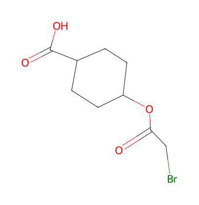 O=C(CBr)OC1CCC(C(=O)O)CC1